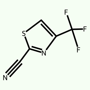 N#Cc1nc(C(F)(F)F)cs1